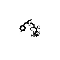 O=C(Cc1nc(Cc2ccc(F)cc2)cs1)C(=O)c1nc[nH]n1